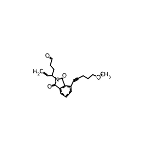 C=CC(CCC=O)N1C(=O)c2cccc(C#CCCCOC)c2C1=O